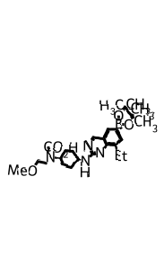 CCc1cc(B2OC(C)(C)C(C)(C)O2)cc2cnc(N[C@H]3CC[C@H](N(CCOC)C(=O)O)CC3)nc12